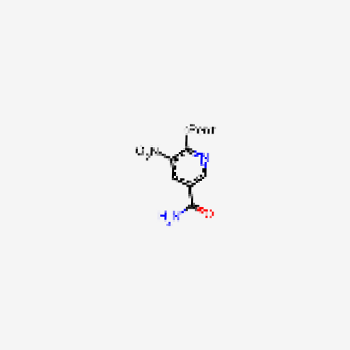 CCCCCc1ncc(C(N)=O)cc1[N+](=O)[O-]